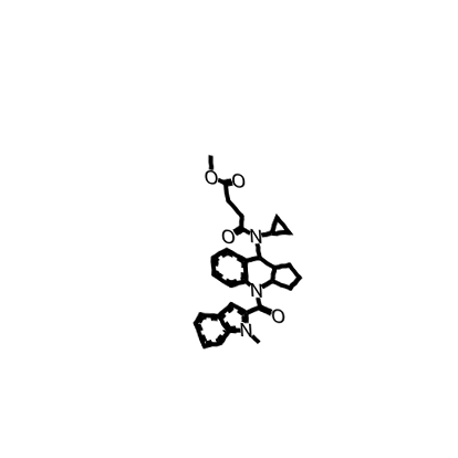 COC(=O)CCC(=O)N(C1CC1)C1c2ccccc2N(C(=O)c2cc3ccccc3n2C)C2CCCC21